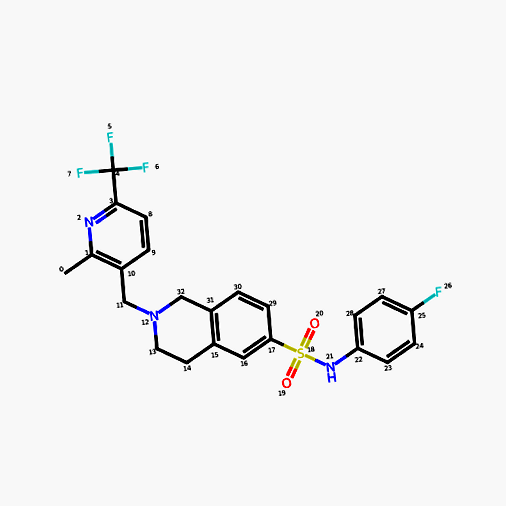 Cc1nc(C(F)(F)F)ccc1CN1CCc2cc(S(=O)(=O)Nc3ccc(F)cc3)ccc2C1